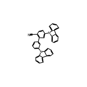 N#Cc1ccc(-n2c3ccccc3c3ccccc32)cc1-c1cccc(-n2c3ccccc3c3ccccc32)c1